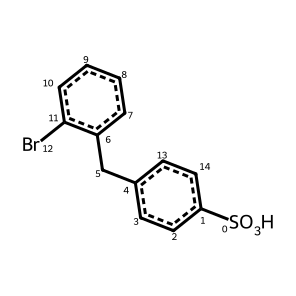 O=S(=O)(O)c1ccc(Cc2ccccc2Br)cc1